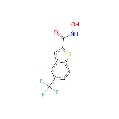 O=C(NO)c1cc2cc(C(F)(F)F)ccc2s1